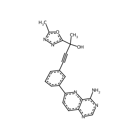 Cc1nnc(C(C)(O)C#Cc2cccc(-c3ccc4ncnc(N)c4n3)c2)o1